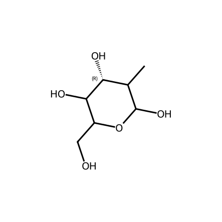 CC1C(O)OC(CO)C(O)[C@@H]1O